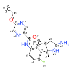 C[C@]1(c2cc(NC(=O)c3cnc(OCC(F)(F)F)cn3)ccc2F)NC(N)C[C@H]1C(F)(F)F